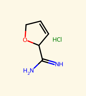 Cl.N=C(N)C1C=CCO1